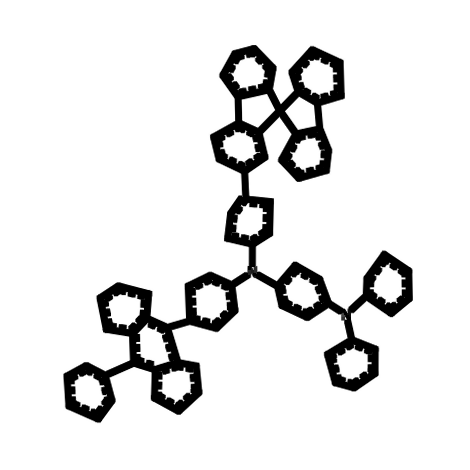 c1ccc(-c2c3ccccc3c(-c3ccc(N(c4ccc(-c5ccc6c(c5)C5(c7ccccc7-c7ccccc75)c5ccccc5-6)cc4)c4ccc(N(c5ccccc5)c5ccccc5)cc4)cc3)c3ccccc23)cc1